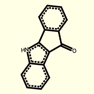 O=C1c2ccccc2-c2[nH]c3ccccc3c21